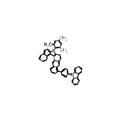 Cc1cc(C)c(-n2c3ccc4ccccc4c3c3c4cc5cccc(-c6ccc(-n7c8ccccc8c8ccccc87)cc6)c5cc4ccc32)c(C)c1